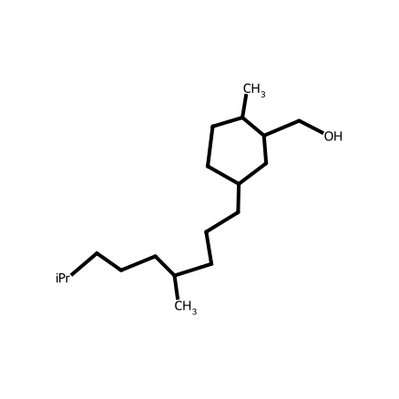 CC(C)CCCC(C)CCCC1CCC(C)C(CO)C1